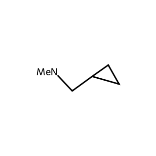 [C]NCC1CC1